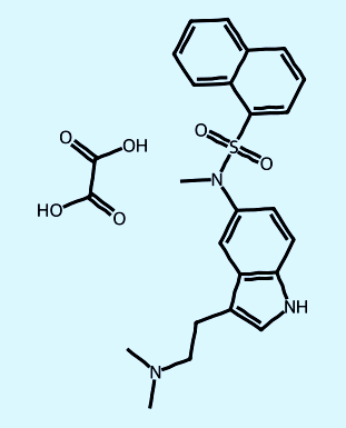 CN(C)CCc1c[nH]c2ccc(N(C)S(=O)(=O)c3cccc4ccccc34)cc12.O=C(O)C(=O)O